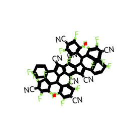 N#CC1=C(c2ccc(F)cc2)C(C(c2c(F)c(F)c(C#N)c(F)c2F)c2c(F)c(F)c(C#N)c(F)c2F)c2c(C#N)c3c(c(C#N)c21)C(C(c1c(F)c(F)c(C#N)c(F)c1F)c1c(F)c(F)c(C#N)c(F)c1F)C(c1ccc(F)cc1)=C3C#N